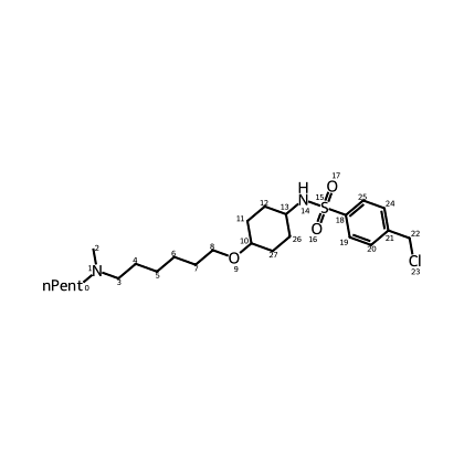 CCCCCN(C)CCCCCCOC1CCC(NS(=O)(=O)c2ccc(CCl)cc2)CC1